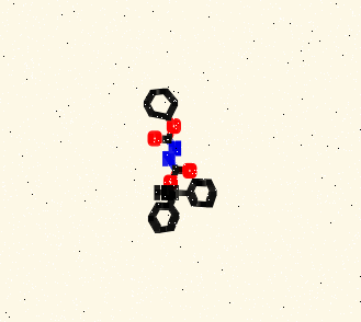 O=C(N=NC(=O)O[SiH](c1ccccc1)c1ccccc1)OC1CCCCC1